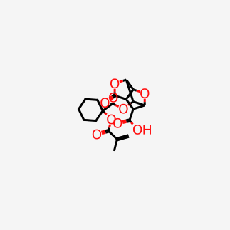 C=C(C)C(=O)OC1(C(=O)OC2C3OC(=O)C4C3OC2C4C(=O)O)CCCCC1